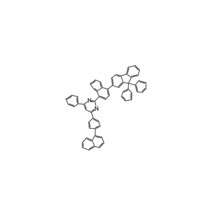 c1ccc(-c2cc(-c3ccc(-c4cccc5ccccc45)cc3)nc(-c3ccc(-c4ccc5c(c4)C(c4ccccc4)(c4ccccc4)c4ccccc4-5)c4ccccc34)n2)cc1